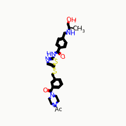 CC(=O)N1CCN(C(=O)c2cccc(CSc3cnc(NC(=O)c4ccc(CN[C@H](C)CO)cc4)s3)c2)CC1